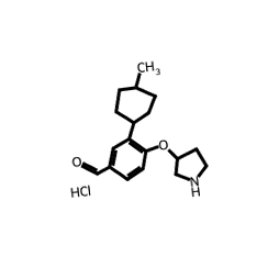 CC1CCC(c2cc(C=O)ccc2OC2CCNC2)CC1.Cl